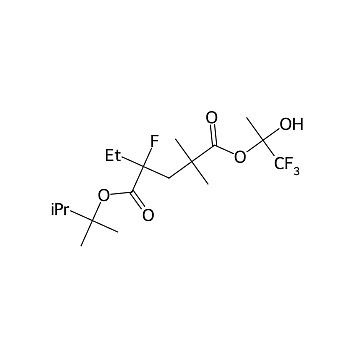 CCC(F)(CC(C)(C)C(=O)OC(C)(O)C(F)(F)F)C(=O)OC(C)(C)C(C)C